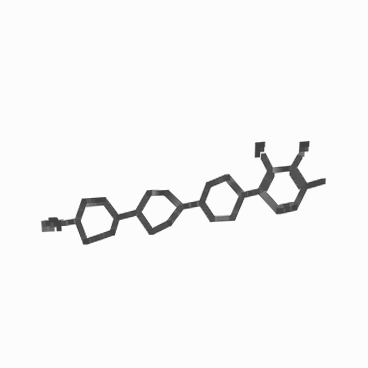 CCCC1C=CC(C2CCC(C3CCC(c4ccc(C)c(F)c4F)CC3)CC2)CC1